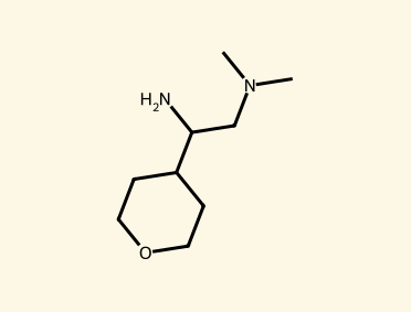 CN(C)CC(N)C1CCOCC1